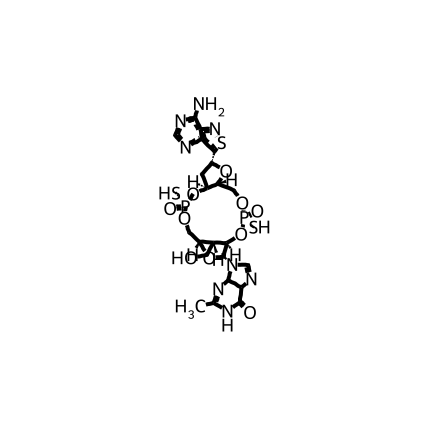 CC1=NC2C(N=CN2[C@@H]2O[C@@H]3CO[P@](=O)(S)O[C@H]4C[C@H](c5snc6c(N)ncnc56)O[C@@H]4CO[P@](=O)(S)O[C@@H]2[C@@H]3CO)C(=O)N1